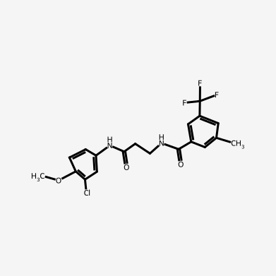 COc1ccc(NC(=O)CCNC(=O)c2cc(C)cc(C(F)(F)F)c2)cc1Cl